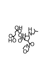 CC(C)CNC1CC(C(=O)N2CCOCC2)CN(C(=O)O)C1.O=C(O)CCC(=O)O